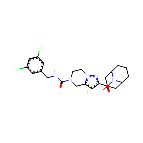 CCOC(=O)C1CC2CCCC(C1)N2C(=O)c1cc2n(n1)CCN(C(=O)NCc1cc(Cl)cc(Cl)c1)C2